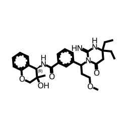 CCC1(CC)CC(=O)N(C(CCOC)c2cccc(C(=O)N[C@@H]3c4ccccc4OCC3(C)O)c2)C(=N)N1